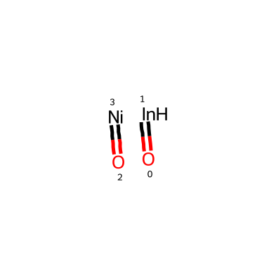 [O]=[InH].[O]=[Ni]